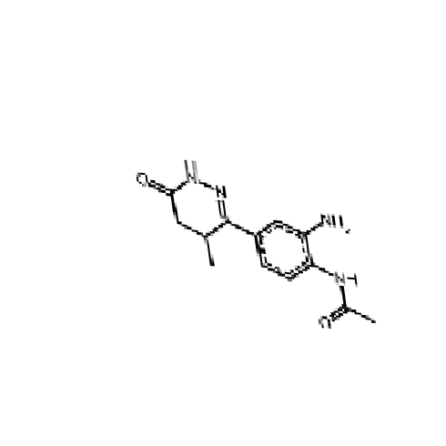 CC(=O)Nc1ccc(C2=NNC(=O)CC2C)cc1N